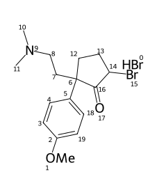 Br.COc1ccc(C2(CCN(C)C)CCC(Br)C2=O)cc1